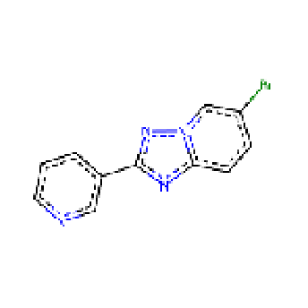 Brc1ccc2nc(-c3cccnc3)nn2c1